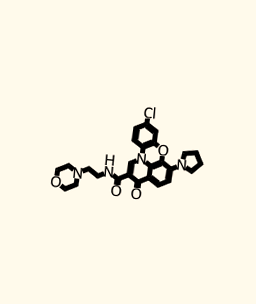 O=C(NCCN1CCOCC1)c1cn2c3c(c(N4CCCC4)ccc3c1=O)Oc1cc(Cl)ccc1-2